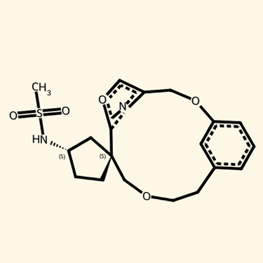 CS(=O)(=O)N[C@H]1CC[C@@]2(COCCc3cccc(c3)OCc3coc2n3)C1